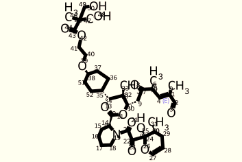 C/C(C=O)=C\[C@@H](C)C(=O)C[C@H](OC(=O)[C@@H]1CCCCN1C(=O)C(=O)[C@]1(O)OC=CC[C@H]1C)[C@H](C)C[C@H]1CC[C@H](OCCOC(=O)C(C)(CO)CO)CC1